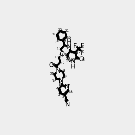 N#Cc1ccc(N2CCN(C(=O)CCOCC(Nc3cn[nH]c(=O)c3C(F)(F)F)c3ccccc3)CC2)nc1